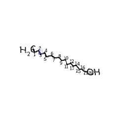 C=C/C=C/CCCCCCCCCCCCCCO